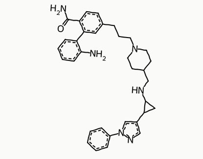 NC(=O)c1ccc(CCCN2CCC(CNC3CC3c3cnn(-c4ccccc4)c3)CC2)cc1-c1ccccc1N